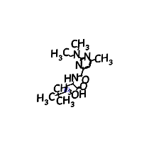 CCN(CC)c1nc(C)cc(C(=O)NC(/C=C/C(C)(C)C)C(=O)O)n1